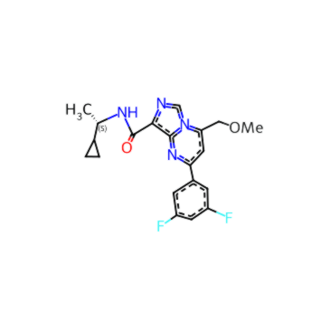 COCc1cc(-c2cc(F)cc(F)c2)nc2c(C(=O)N[C@@H](C)C3CC3)ncn12